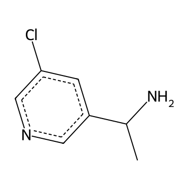 CC(N)c1cncc(Cl)c1